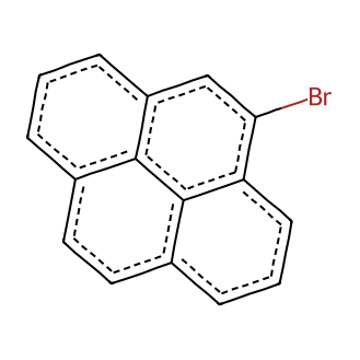 Brc1cc2cccc3ccc4cccc1c4c32